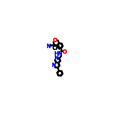 C[C@@]1(C#N)COCc2ccc(C(=O)NCc3cc4cc(-c5ccccc5)cnc4cn3)cc21